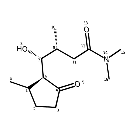 CC1CCC(=O)[C@@H]1[C@H](O)[C@H](C)CC(=O)N(C)C